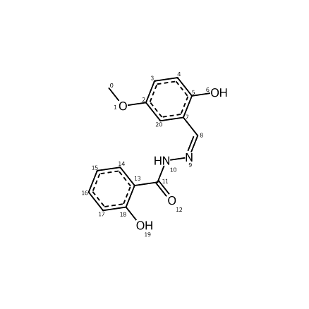 COc1ccc(O)c(/C=N\NC(=O)c2ccccc2O)c1